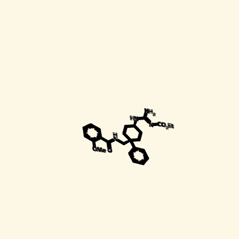 CCOC(=O)N=C(N)N[C@H]1CC[C@](CNC(=O)c2ccccc2OC)(c2ccccc2)CC1